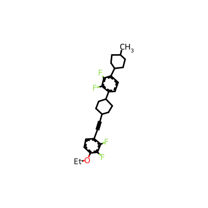 CCOc1ccc(C#CC2CCC(c3ccc(C4CCC(C)CC4)c(F)c3F)CC2)c(F)c1F